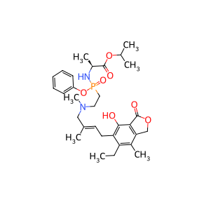 CCc1c(C)c2c(c(O)c1C/C=C(\C)CN(C)CCP(=O)(N[C@@H](C)C(=O)OC(C)C)Oc1ccccc1)C(=O)OC2